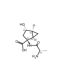 C[C@H](N)C(=O)N[C@@]1(C(=O)O)C[C@H](O)[C@H]2C[C@H]21